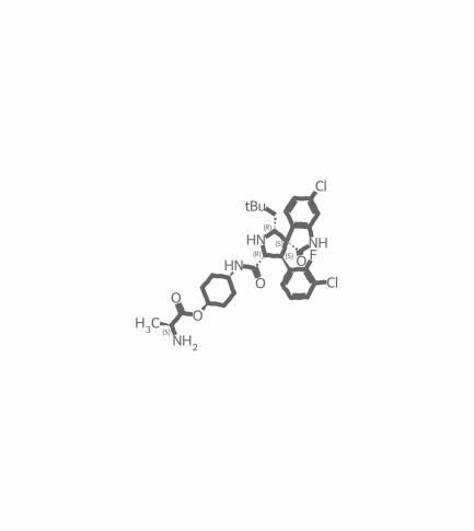 C[C@H](N)C(=O)O[C@H]1CC[C@H](NC(=O)[C@@H]2N[C@H](CC(C)(C)C)[C@]3(C(=O)Nc4cc(Cl)ccc43)[C@H]2c2cccc(Cl)c2F)CC1